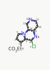 CCOC(=O)c1ccn2c1c(Cl)nc1ccncc12